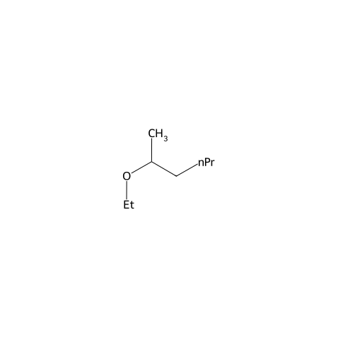 [CH2]COC(C)CCCC